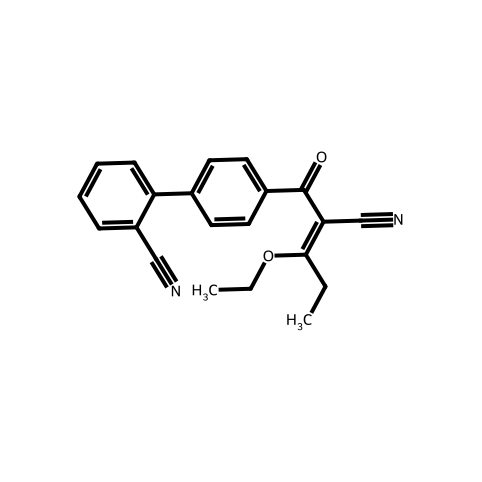 CCOC(CC)=C(C#N)C(=O)c1ccc(-c2ccccc2C#N)cc1